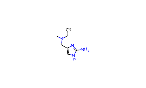 CN(CC#N)Cc1c[nH]c(N)n1